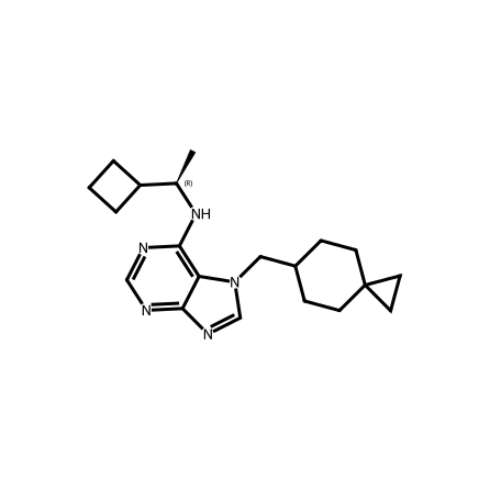 C[C@@H](Nc1ncnc2ncn(CC3CCC4(CC3)CC4)c12)C1CCC1